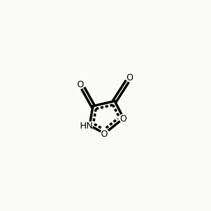 O=c1[nH]ooc1=O